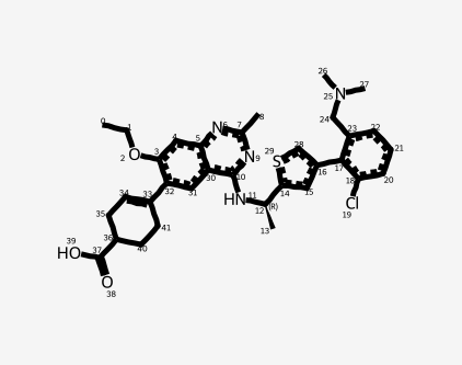 CCOc1cc2nc(C)nc(N[C@H](C)c3cc(-c4c(Cl)cccc4CN(C)C)cs3)c2cc1C1=CCC(C(=O)O)CC1